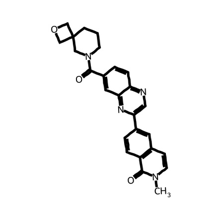 Cn1ccc2cc(-c3cnc4ccc(C(=O)N5CCCC6(COC6)C5)cc4n3)ccc2c1=O